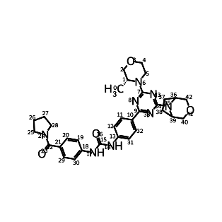 C[C@@H]1COCCN1c1nc(-c2ccc(NC(=O)Nc3ccc(C(=O)N4CCCC4)cc3)cc2)nc(N2C3CCC2COC3)n1